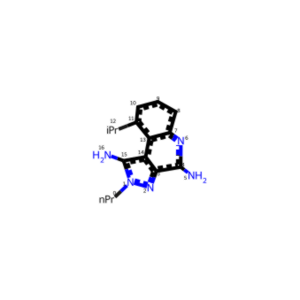 CCCn1nc2c(N)nc3cccc(C(C)C)c3c2c1N